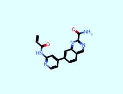 C=CC(=O)Nc1cc(-c2ccc3cnc(C(N)=O)nc3c2)ccn1